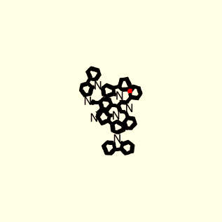 N#Cc1ccc(-c2c(-n3c4ccccc4c4cc(-n5c6ccccc6c6ccccc65)ccc43)c(-c3ccccc3)nc(-c3ccccc3)c2-n2c3ccccc3c3cc(-n4c5ccccc5c5ccccc54)ccc32)cc1C#N